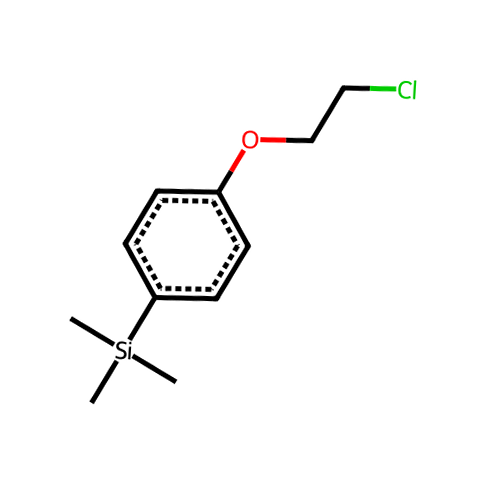 C[Si](C)(C)c1ccc(OCCCl)cc1